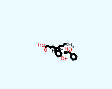 CCCCC1/C(=C/CCC(=O)O)[C@@H]2CC[C@H](O)[C@@H](C#CC(O)C3CCCCC3)[C@H]12